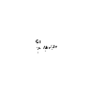 [Ga].[Mn].[Nb].[V]